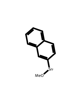 C[O][Sn][c]1ccc2ccccc2c1